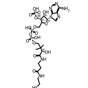 CC(C)(COP(=O)(O)OP(=O)(O)OCC1O[C@@H](n2cnc3c(N)ncnc32)[C@H](O)[C@@H]1OP(=O)(O)O)[C@@H](O)C(=O)NCCC(=O)NCCS